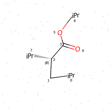 CC(C)C[C@@H](C(=O)OC(C)C)C(C)C